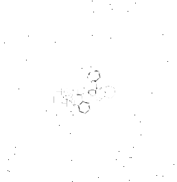 NC1=NS(O)(O)Nc2cccc(OCC3CCCCN3C(=O)c3ccncn3)c21